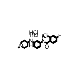 CN1CCC(Nc2cccc(NC(=O)c3ccc(F)cc3Cl)c2)CC1.Cl.Cl